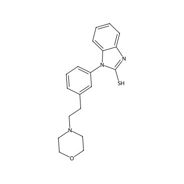 Sc1nc2ccccc2n1-c1cccc(CCN2CCOCC2)c1